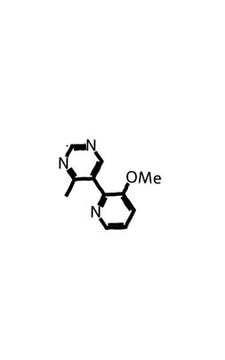 COc1cccnc1-c1cn[c]nc1C